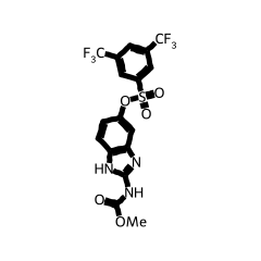 COC(=O)Nc1nc2cc(OS(=O)(=O)c3cc(C(F)(F)F)cc(C(F)(F)F)c3)ccc2[nH]1